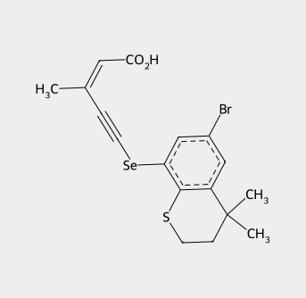 CC(C#C[Se]c1cc(Br)cc2c1SCCC2(C)C)=CC(=O)O